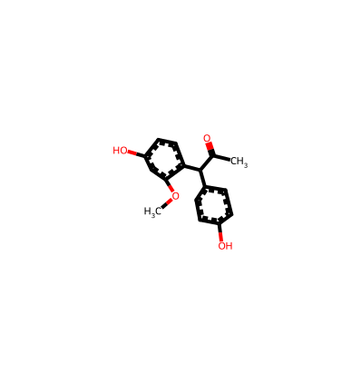 COc1cc(O)ccc1C(C(C)=O)c1ccc(O)cc1